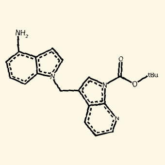 CC(C)(C)OC(=O)n1cc(Cn2ccc3c(N)cccc32)c2cccnc21